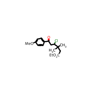 CCOC(=O)CC(C)(C)C(Cl)CC(=O)c1ccc(OC)cc1